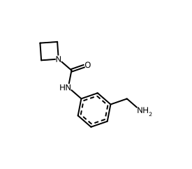 NCc1cccc(NC(=O)N2CCC2)c1